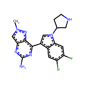 Cn1cc2nc(N)nc(-c3cn(C4CCNC4)c4cc(F)c(Br)cc34)c2n1